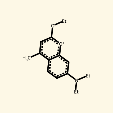 CCOc1cc(C)c2ccc(N(CC)CC)cc2[o+]1